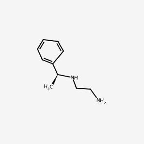 C[C@H](NCCN)c1ccccc1